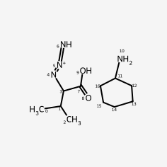 CC(C)C(N=[N+]=N)C(=O)O.NC1CCCCC1